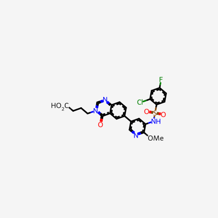 COc1ncc(-c2ccc3ncn(CCCC(=O)O)c(=O)c3c2)cc1NS(=O)(=O)c1ccc(F)cc1Cl